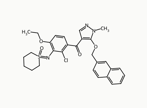 CCOc1ccc(C(=O)c2cnn(C)c2OCc2ccc3ccccc3c2)c(Cl)c1N=S1(=O)CCCCC1